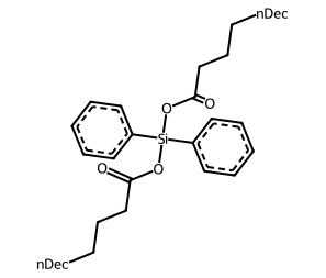 CCCCCCCCCCCCCC(=O)O[Si](OC(=O)CCCCCCCCCCCCC)(c1ccccc1)c1ccccc1